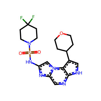 O=S(=O)(Nc1cn2c(cnc3[nH]cc(C4CCOCC4)c32)n1)N1CCC(F)(F)CC1